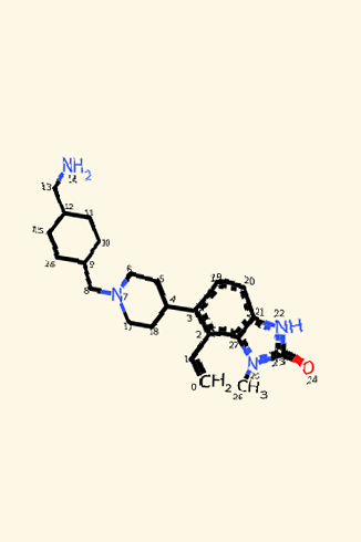 C=Cc1c(C2CCN(CC3CCC(CN)CC3)CC2)ccc2[nH]c(=O)n(C)c12